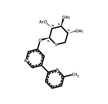 CC(=O)O[C@@H]1[C@@H](OC(C)=O)[C@H](OC(C)=O)CS[C@H]1Oc1cncc(-c2cccc(C)n2)c1